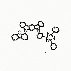 c1ccc(-c2nc(-c3ccccc3)nc(-c3cccc(-n4c5ccccc5c5cc6c7ccccc7n(-c7cccc8c7oc7ccccc78)c6cc54)c3)n2)cc1